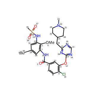 COc1c(NC(=O)c2ccc(Cl)c(Oc3ncnc(CC4CCN(C)CC4)n3)c2)cc(C(C)(C)C)cc1NS(C)(=O)=O